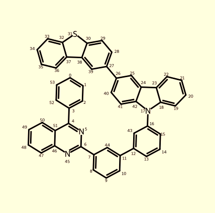 c1ccc(-c2nc(-c3cccc(-c4cccc(-n5c6ccccc6c6cc(-c7ccc8sc9ccccc9c8c7)ccc65)c4)c3)nc3ccccc23)cc1